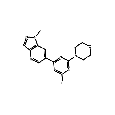 Cn1ncc2ncc(-c3cc(Cl)nc(N4CCOCC4)n3)cc21